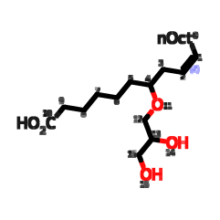 CCCCCCCC/C=C\CC(CCCCCC(=O)O)OCC(O)CO